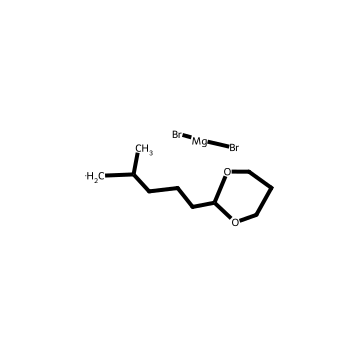 [Br][Mg][Br].[CH2]C(C)CCCC1OCCCO1